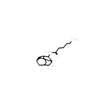 O=C(CCCCO)NC1C2CC3CC(C2)CC1C3